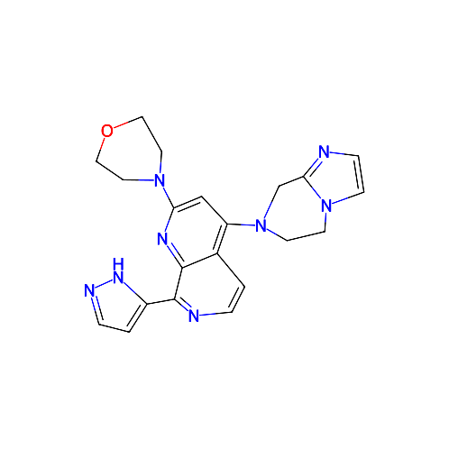 c1cc(-c2nccc3c(N4CCn5ccnc5C4)cc(N4CCOCC4)nc23)[nH]n1